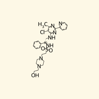 Cc1nc(-c2ccccn2)nc(NC[C@H](NS(=O)(=O)CCN2CCN(CCO)CC2)c2ccccc2)c1Cl